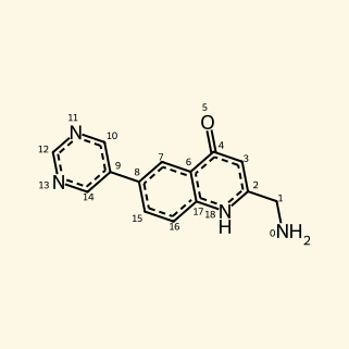 NCc1cc(=O)c2cc(-c3cncnc3)ccc2[nH]1